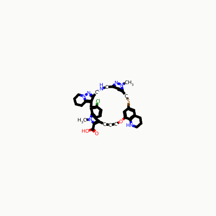 Cn1nc2cc1CSc1cc3c(c(c1)OCCCc1c(C(=O)O)n(C)c4c(c(Cl)ccc14)-c1c(nn4c1CCCC4)CNC2)NCCC3